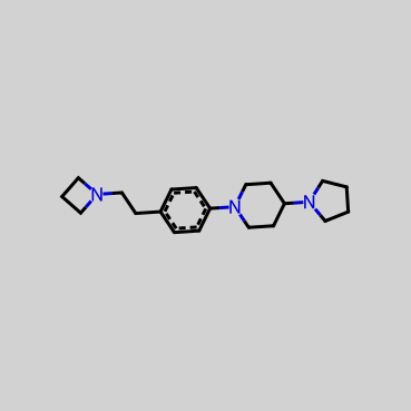 c1cc(N2CCC(N3CCCC3)CC2)ccc1CCN1CCC1